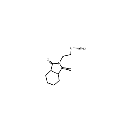 CCCCCCOCCN1C(=O)C2CCCCC2C1=O